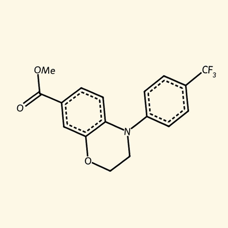 COC(=O)c1ccc2c(c1)OCCN2c1ccc(C(F)(F)F)cc1